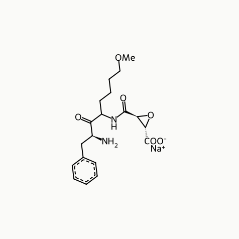 COCCCCC(NC(=O)[C@H]1O[C@@H]1C(=O)[O-])C(=O)[C@@H](N)Cc1ccccc1.[Na+]